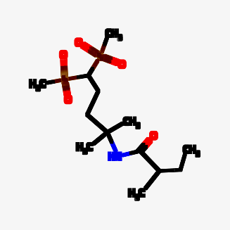 CCC(C)C(=O)NC(C)(C)CCC(S(C)(=O)=O)S(C)(=O)=O